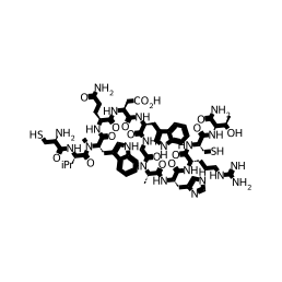 CC(C)[C@H](NC(=O)[C@@H](N)CS)C(=O)N(C)[C@@H](Cc1c[nH]c2ccccc12)C(=O)N[C@@H](CCC(N)=O)C(=O)N[C@@H](CC(=O)O)C(=O)N[C@@H](Cc1c[nH]c2ccccc12)C(=O)NCC(=O)N[C@@H](C)C(=O)N[C@@H](Cc1c[nH]cn1)C(=O)N[C@@H](CCCNC(=N)N)C(=O)N[C@@H](CS)C(=O)N[C@H](C(N)=O)[C@@H](C)O